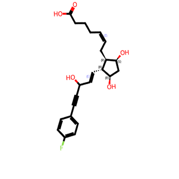 O=C(O)CCC/C=C\C[C@@H]1[C@@H](/C=C/C(O)C#Cc2ccc(F)cc2)[C@H](O)C[C@@H]1O